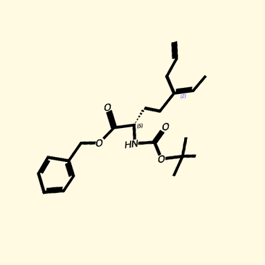 C=CC/C(=C\C)CC[C@H](NC(=O)OC(C)(C)C)C(=O)OCc1ccccc1